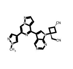 Cn1cc(-c2cn3nccc3c(-c3cn([C@]4(CC#N)C[C@H](C#N)C4)c4ncncc34)n2)cn1